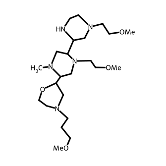 COCCCN1CCOC(C2CN(CCOC)C(C3CN(CCOC)CCN3)CN2C)C1